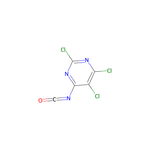 O=C=Nc1nc(Cl)nc(Cl)c1Cl